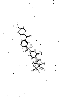 CN1CCN(C(=O)c2cccc(S(=O)(=O)c3ccc(NC(=O)C(C)(O)C(F)(F)F)c(Cl)c3)c2)CC1